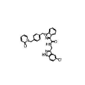 O=C(NCc1n[nH]c2ccc(Cl)cc12)c1nn(Cc2ccc(Cn3ccccc3=O)cc2)c2ccccc12